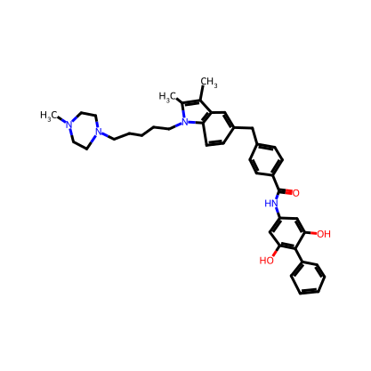 Cc1c(C)n(CCCCCN2CCN(C)CC2)c2ccc(Cc3ccc(C(=O)Nc4cc(O)c(-c5ccccc5)c(O)c4)cc3)cc12